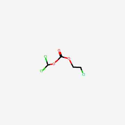 O=C(OCCCl)OC(Cl)Cl